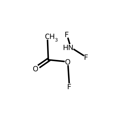 CC(=O)OF.FNF